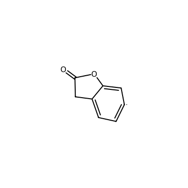 O=C1Cc2cc[c]cc2O1